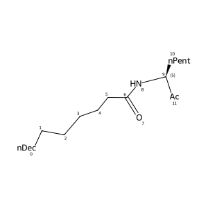 CCCCCCCCCCCCCCCC(=O)N[C@@H](CCCCC)C(C)=O